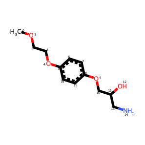 COCCOc1ccc(OCC(O)CN)cc1